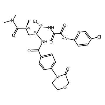 CC[C@H](NC(=O)C(=O)Nc1ccc(Cl)cn1)[C@@H](C[C@H](C)C(=O)N(C)C)NC(=O)c1ccc(N2CCOCC2=O)cc1